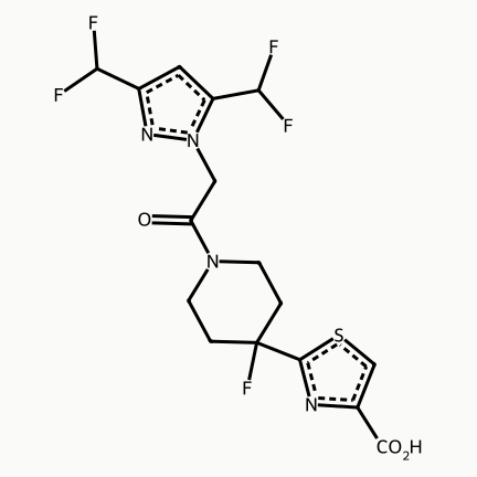 O=C(O)c1csc(C2(F)CCN(C(=O)Cn3nc(C(F)F)cc3C(F)F)CC2)n1